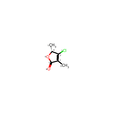 CC1=C(Cl)[C@@H](C)OC1=O